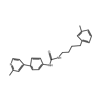 Cc1cccc(CCCCNC(=O)Nc2ccc(-c3ccnc(C)c3)cc2)c1